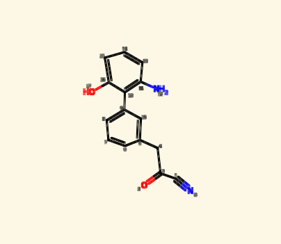 N#CC(=O)Cc1cccc(-c2c(N)cccc2O)c1